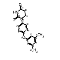 Cc1cc(C)cc(Oc2ncc(N3CCC(=O)NC3=O)cn2)c1